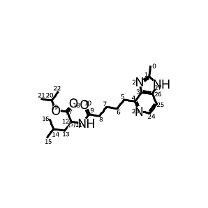 Cc1nc2c(CCCCC(=O)N[C@@H](CC(C)C)C(=O)OC(C)C)nccc2[nH]1